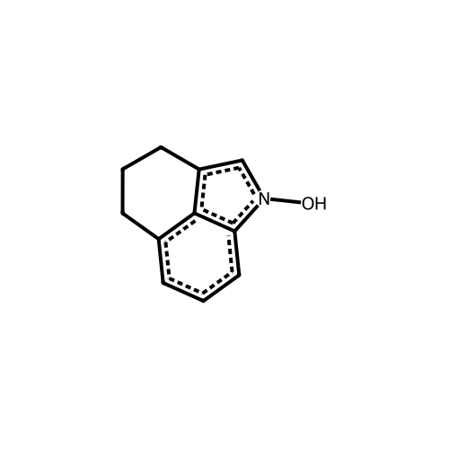 On1cc2c3c(cccc31)CCC2